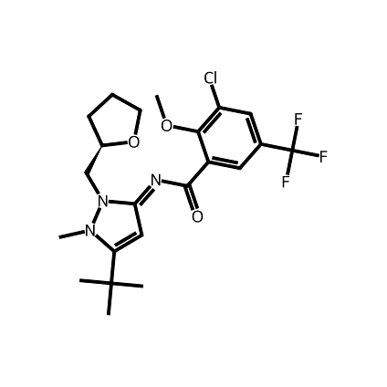 COc1c(Cl)cc(C(F)(F)F)cc1C(=O)N=c1cc(C(C)(C)C)n(C)n1C[C@H]1CCCO1